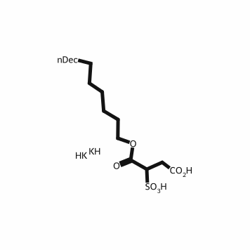 CCCCCCCCCCCCCCCCOC(=O)C(CC(=O)O)S(=O)(=O)O.[KH].[KH]